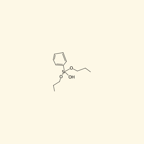 CCCO[Si](O)(OCCC)c1ccccc1